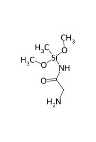 CO[Si](C)(NC(=O)CN)OC